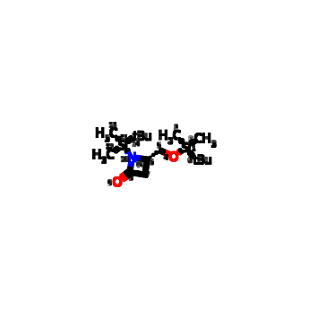 CC(C)(C)[Si](C)(C)OC[C@@H]1CC(=O)N1[Si](C)(C)C(C)(C)C